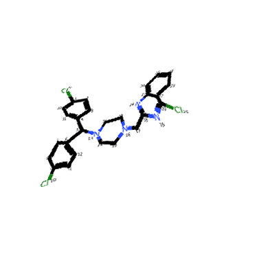 Clc1ccc(C(c2ccc(Cl)cc2)N2CCN(Cc3nc(Cl)c4ccccc4n3)CC2)cc1